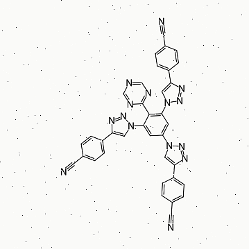 N#Cc1ccc(-c2cn(-c3cc(-n4cc(-c5ccc(C#N)cc5)nn4)c(-c4ncncn4)c(-n4cc(-c5ccc(C#N)cc5)nn4)c3)nn2)cc1